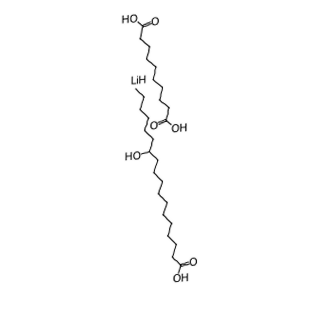 CCCCCCC(O)CCCCCCCCCCC(=O)O.O=C(O)CCCCCCCCC(=O)O.[LiH]